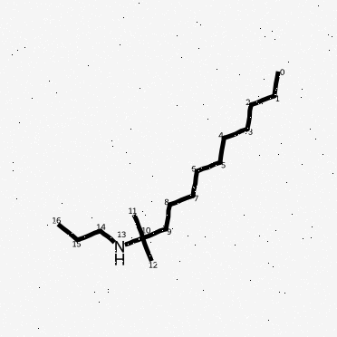 CCCCCCCCCCC(C)(C)NCCC